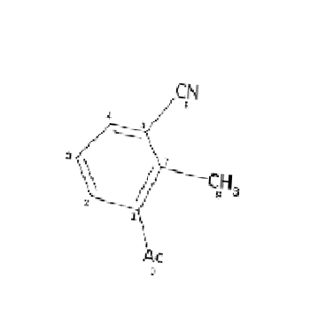 CC(=O)c1cccc(C#N)c1C